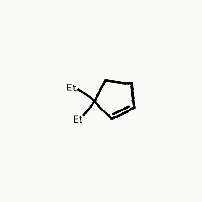 CCC1(CC)C=CCC1